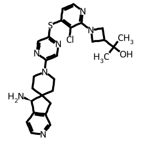 CC(C)(O)C1CN(c2nccc(Sc3cnc(N4CCC5(CC4)Cc4cnccc4[C@H]5N)cn3)c2Cl)C1